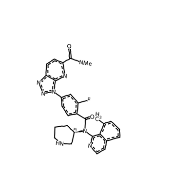 CNC(=O)c1ccc2nnn(-c3ccc(C(=O)N(c4nccc5cccc(C)c45)[C@@H]4CCCNC4)c(F)c3)c2n1